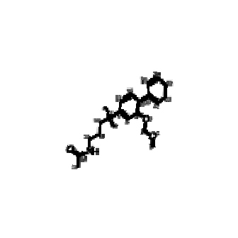 COCOc1cc(C(C)(C)CCCNC(C)=O)ccc1-c1ccccc1